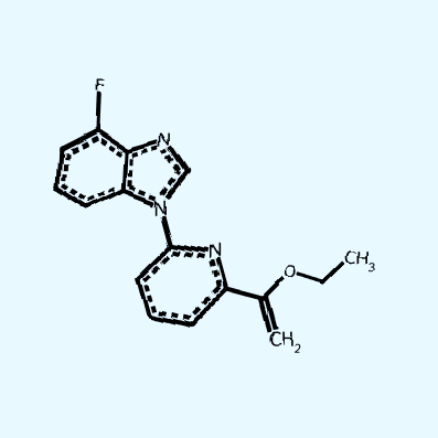 C=C(OCC)c1cccc(-n2cnc3c(F)cccc32)n1